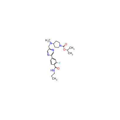 CCCNC(=O)c1ccc(-c2cnc(CN(C)C3CCN(C(=O)OC(C)C)CC3)cn2)cc1F